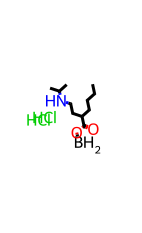 BOC(=O)C(CCCC)CCNC(C)C.Cl.Cl